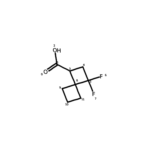 O=C(O)C1CC(F)(F)C12CCC2